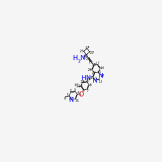 Cc1ccc(Oc2ccc(Nc3ncnc4ccc(C#CC5(N)CCC5)cc34)cc2C)cn1